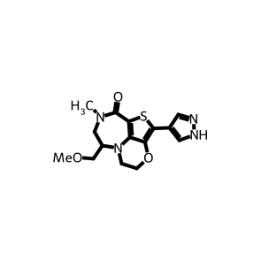 COCC1CN(C)C(=O)c2sc(-c3cn[nH]c3)c3c2N1CCO3